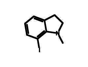 CN1CCc2cccc(I)c21